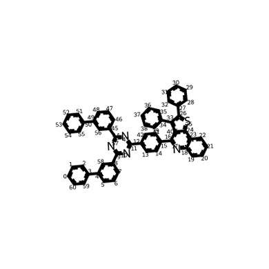 c1ccc(-c2cccc(-c3nc(-c4ccc(-c5nc6ccccc6c6sc(-c7ccccc7)c(-c7ccccc7)c56)cc4)nc(-c4cccc(-c5ccccc5)c4)n3)c2)cc1